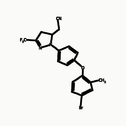 Cc1cc(Br)ccc1Oc1ccc(N2N=C(C(F)(F)F)CC2CC#N)cc1